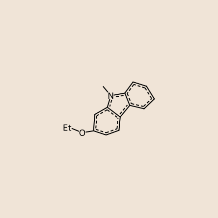 CCOc1ccc2c3ccccc3n(C)c2c1